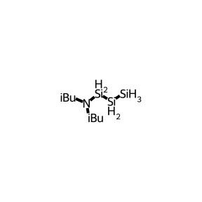 CCC(C)N([SiH2][SiH2][SiH3])C(C)CC